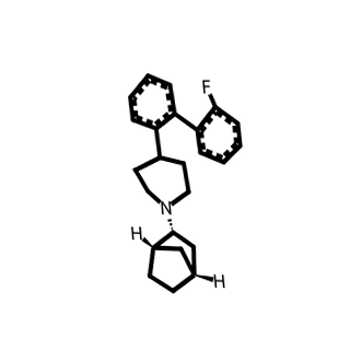 Fc1ccccc1-c1ccccc1C1CCN([C@@H]2C[C@@H]3CC[C@H]2C3)CC1